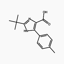 Cc1ccc(-c2[nH]c(C(C)(C)C)nc2C(=O)O)cc1